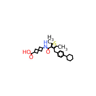 Cc1sc(C)c(C(=O)NC2CC3(C2)CC(C(=O)O)C3)c1Cc1ccc(C2CCCCC2)cc1